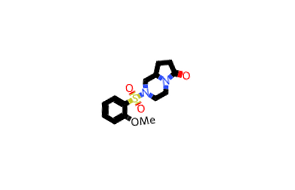 COc1ccccc1S(=O)(=O)N1CCN2C(=O)CCC2C1